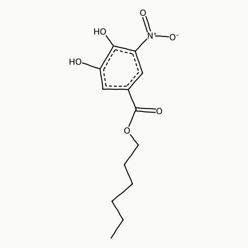 CCCCCCOC(=O)c1cc(O)c(O)c([N+](=O)[O-])c1